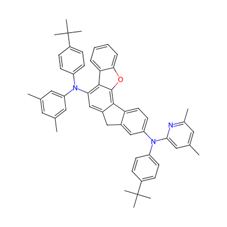 Cc1cc(C)cc(N(c2ccc(C(C)(C)C)cc2)c2cc3c(c4oc5ccccc5c24)-c2ccc(N(c4ccc(C(C)(C)C)cc4)c4cc(C)cc(C)n4)cc2C3)c1